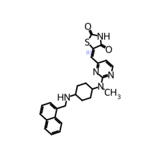 CN(c1nccc(/C=C2/SC(=O)NC2=O)n1)C1CCC(NCc2cccc3ccccc23)CC1